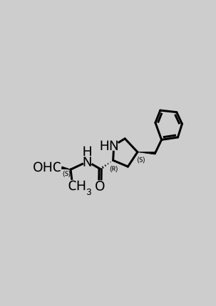 C[C@@H](C=O)NC(=O)[C@H]1C[C@H](Cc2ccccc2)CN1